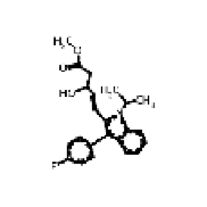 COC(=O)CC(O)C=Cc1c(-c2ccc(F)cc2)c2ccccc2n1C(C)C